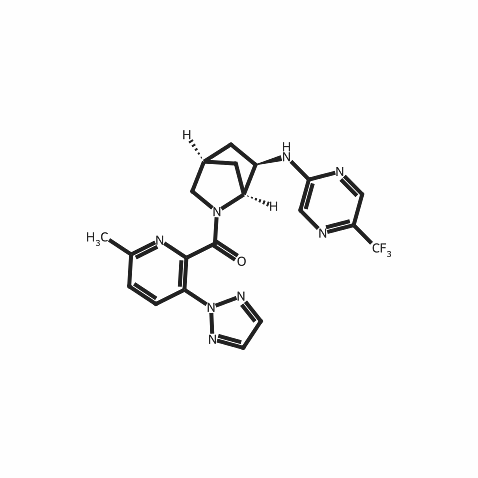 Cc1ccc(-n2nccn2)c(C(=O)N2C[C@H]3C[C@@H](Nc4cnc(C(F)(F)F)cn4)[C@@H]2C3)n1